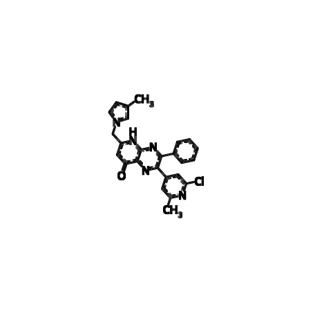 Cc1ccn(Cc2cc(=O)c3nc(-c4cc(C)nc(Cl)c4)c(-c4ccccc4)nc3[nH]2)c1